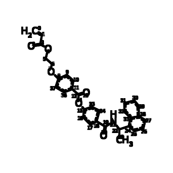 C=CC(=O)OCCOc1ccc(C(=O)Oc2ccc(C(=O)NC(C)c3cccc4ccccc34)cc2)cc1